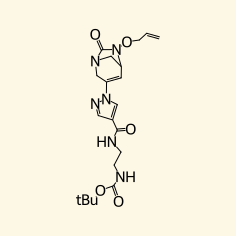 C=CCON1C(=O)N2CC(n3cc(C(=O)NCCNC(=O)OC(C)(C)C)cn3)=CC1C2